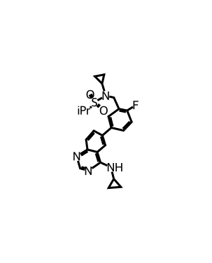 CC(C)S(=O)(=O)N(Cc1cc(-c2ccc3ncnc(NC4CC4)c3c2)ccc1F)C1CC1